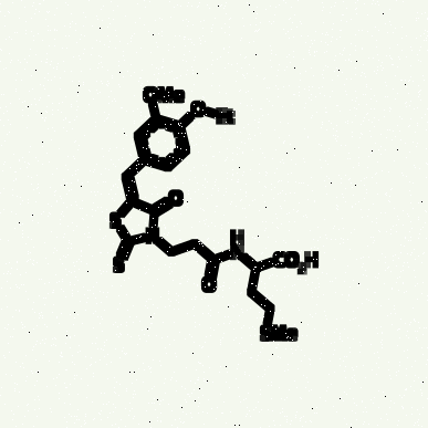 CCOc1ccc(/C=C2/SC(=S)N(CCC(=O)NC(CCSC)C(=O)O)C2=O)cc1OC